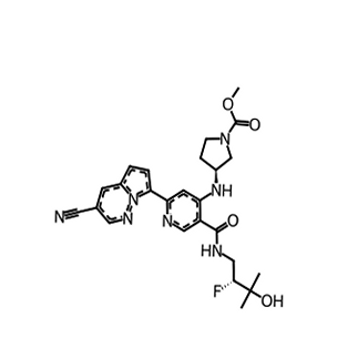 COC(=O)N1CC[C@H](Nc2cc(-c3ccc4cc(C#N)cnn34)ncc2C(=O)NC[C@@H](F)C(C)(C)O)C1